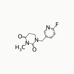 CN1C(=O)CCN(Cc2ccc(F)nc2)C1=O